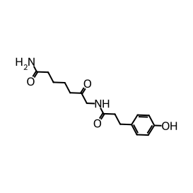 NC(=O)CCCCC(=O)CNC(=O)CCc1ccc(O)cc1